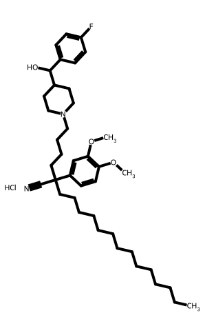 CCCCCCCCCCCCCCC(C#N)(CCCCN1CCC(C(O)c2ccc(F)cc2)CC1)c1ccc(OC)c(OC)c1.Cl